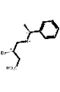 CC[C@H](CN[C@@H](C)c1ccccc1)CC(=O)O